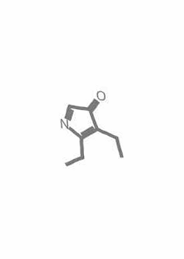 CCC1=C(CC)C(=O)C=N1